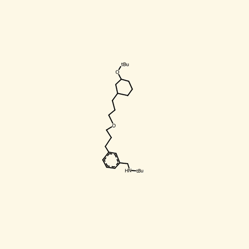 CC(C)(C)NCc1cccc(CCCOCCCC2CCCC(OC(C)(C)C)C2)c1